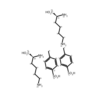 Cc1ccc(S(=O)(=O)O)cc1.Cc1ccc(S(=O)(=O)O)cc1.NCCCC[C@H](N)C(=O)O.NCCCC[C@H](N)C(=O)O